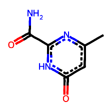 Cc1cc(=O)[nH]c(C(N)=O)n1